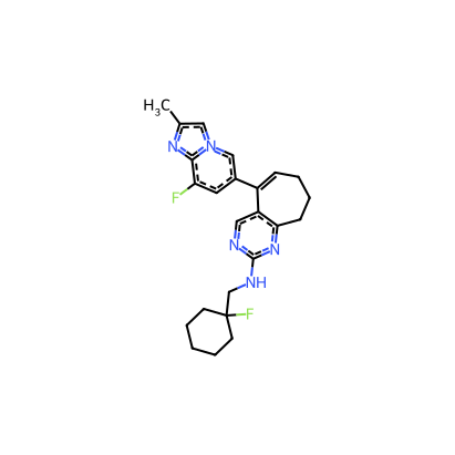 Cc1cn2cc(C3=CCCCc4nc(NCC5(F)CCCCC5)ncc43)cc(F)c2n1